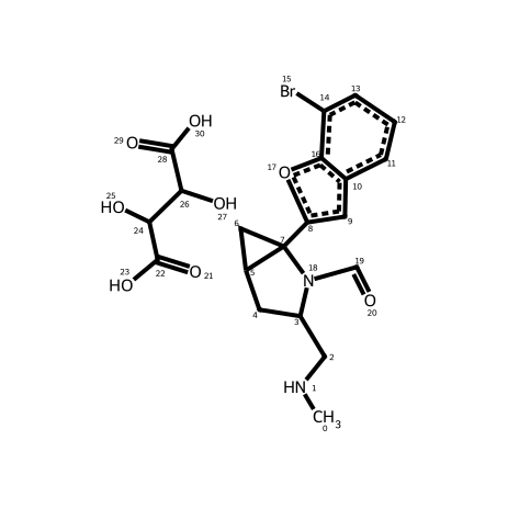 CNCC1CC2CC2(c2cc3cccc(Br)c3o2)N1C=O.O=C(O)C(O)C(O)C(=O)O